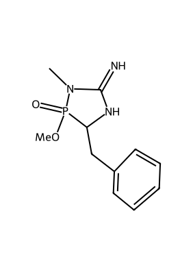 COP1(=O)C(Cc2ccccc2)NC(=N)N1C